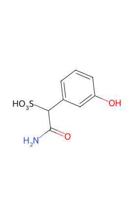 NC(=O)C(c1cccc(O)c1)S(=O)(=O)O